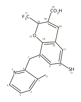 Cc1cccnc1Cc1cc(S)cc2c1OC(C(F)(F)F)C(C(=O)O)=C2